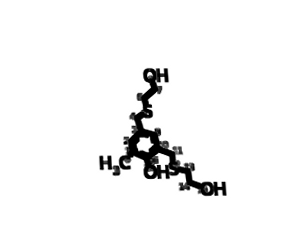 Cc1cc(CSCCO)cc(CSCCO)c1O